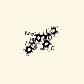 COc1cc(CC(=O)C(F)(Oc2ccc(C(=O)O)cc2)N2CCCC2)ccc1NC(=O)Nc1ccccc1Br